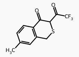 Cc1ccc2c(c1)CSC(C(=O)C(F)(F)F)C2=O